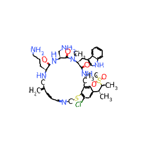 C=C1/C=C\C=N/CSc2c(Cl)cc([C@@H](C)C(C)S(C)(=O)=O)cc2CNC(=O)[C@H](Cc2c[nH]c3ccccc23)N(C)C(=O)[C@H](CN)NC(=O)[C@H](CCCN)NC1